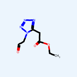 CCOC(=O)Cc1nnnn1C[C]=O